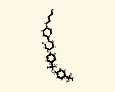 CCCCC[C@H]1CC[C@H]([C@H]2CC[C@H](c3ccc(C(F)(F)Oc4ccc(C(F)(F)F)cc4)cc3)CC2)CC1